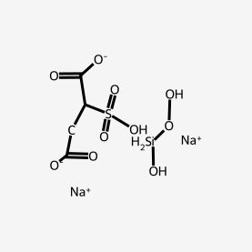 O=C([O-])CC(C(=O)[O-])S(=O)(=O)O.OO[SiH2]O.[Na+].[Na+]